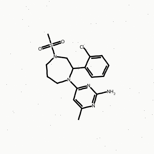 Cc1cc(N2CCCN(S(C)(=O)=O)CC2c2ccccc2Cl)nc(N)n1